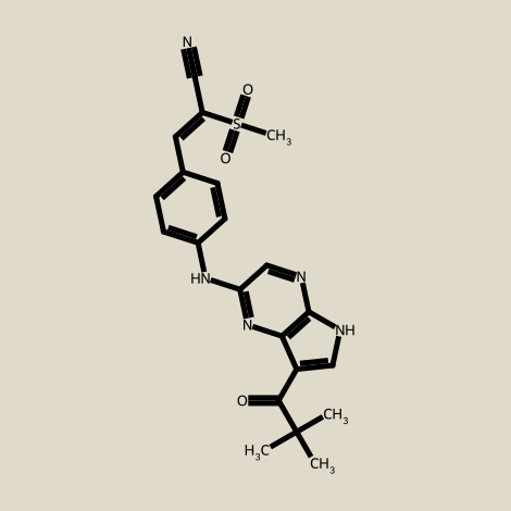 CC(C)(C)C(=O)c1c[nH]c2ncc(Nc3ccc(C=C(C#N)S(C)(=O)=O)cc3)nc12